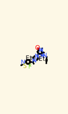 CC#CCn1cc2c(n1)c(N1C[C@@H](CC)N(C(C)c3ccc4nc(C)sc4c3F)C[C@@H]1CC)cc(=O)n2C